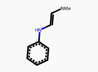 CNC=CNc1ccccc1